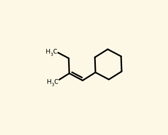 CCC(C)=CC1CCCCC1